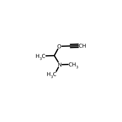 C#COC(C)N(C)C